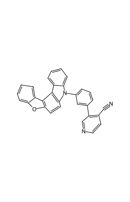 N#Cc1ccncc1-c1cccc(-n2c3ccccc3c3c4c(ccc32)oc2ccccc24)c1